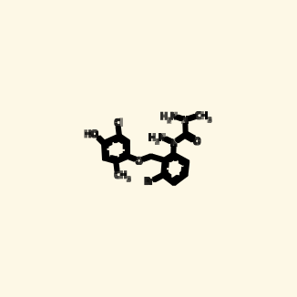 Cc1cc(O)c(Cl)cc1OCc1c(Br)cccc1N(N)C(=O)N(C)N